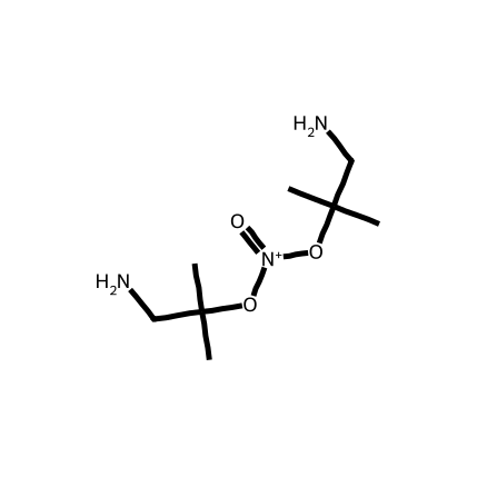 CC(C)(CN)O[N+](=O)OC(C)(C)CN